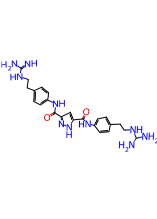 N=C(N)NCCc1ccc(NC(=O)c2cc(C(=O)Nc3ccc(CCNC(N)N)cc3)[nH]n2)cc1